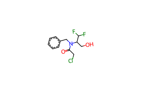 O=C(CCl)N(Cc1ccccc1)C(CO)C(F)F